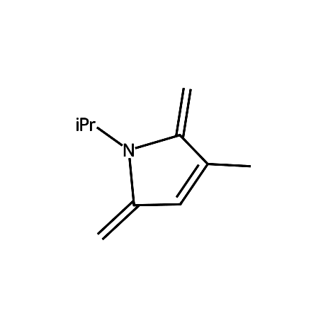 C=c1cc(C)c(=C)n1C(C)C